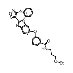 CCOCCCNC(=O)c1cccc(Oc2cc3c(cn2)nc(-c2nonc2N)n3-c2ccccc2)c1